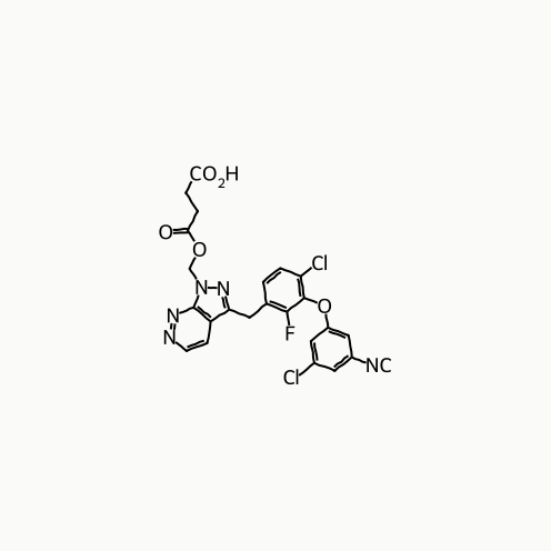 [C-]#[N+]c1cc(Cl)cc(Oc2c(Cl)ccc(Cc3nn(COC(=O)CCC(=O)O)c4nnccc34)c2F)c1